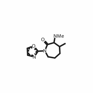 CNC1C(=O)N(c2ncco2)CCCC1C